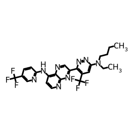 CCCCN(CC)c1cc(C(F)(F)F)c(-c2cnc3c(Nc4ccc(C(F)(F)F)cn4)ccnc3n2)nn1